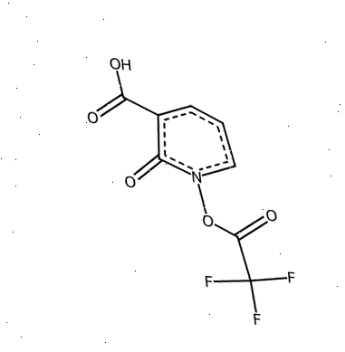 O=C(O)c1cccn(OC(=O)C(F)(F)F)c1=O